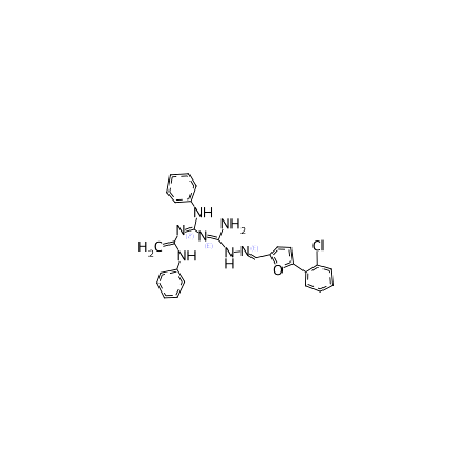 C=C(/N=C(\N=C(/N)N/N=C/c1ccc(-c2ccccc2Cl)o1)Nc1ccccc1)Nc1ccccc1